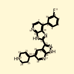 Fc1cccc(-c2ccnc3[nH]c(-c4n[nH]c5ncc(C6=CCNCC6)cc45)nc23)c1